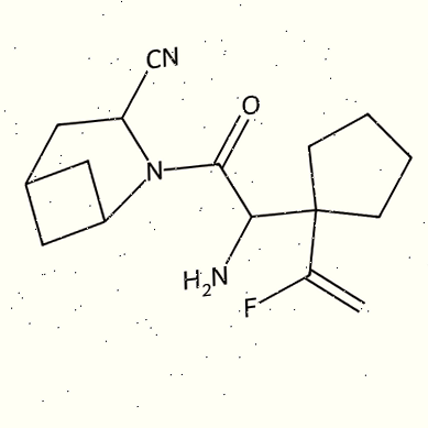 C=C(F)C1(C(N)C(=O)N2C(C#N)CC3CC2C3)CCCC1